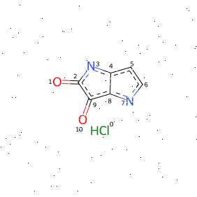 Cl.O=c1nc2ccnc-2c1=O